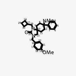 CNC1(c2ccccc2)CCC2(CC1)CN(Cc1ccc(OC)cc1)C(=O)N2CC1CCC1